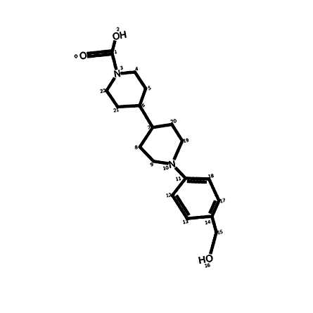 O=C(O)N1CCC(C2CCN(c3ccc(CO)cc3)CC2)CC1